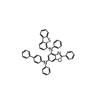 c1ccc(-c2ccc(N(c3ccccc3)c3cc(N(c4ccccc4)c4cccc5c4sc4ccccc45)c4nc(-c5ccccc5)oc4c3)cc2)cc1